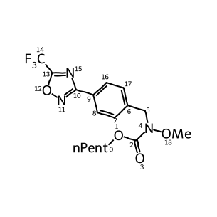 CCCCCOC(=O)N(Cc1ccc(-c2noc(C(F)(F)F)n2)cc1)OC